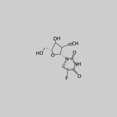 C#CC1C(O)[C@@H](CO)O[C@H]1n1cc(F)c(=O)[nH]c1=O